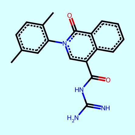 Cc1ccc(C)c(-n2cc(C(=O)NC(=N)N)c3ccccc3c2=O)c1